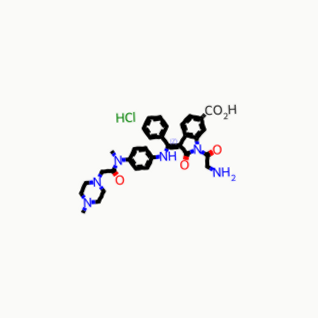 CN1CCN(CC(=O)N(C)c2ccc(N/C(=C3\C(=O)N(C(=O)CN)c4cc(C(=O)O)ccc43)c3ccccc3)cc2)CC1.Cl